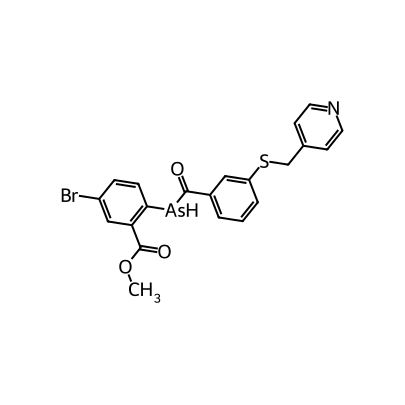 COC(=O)c1cc(Br)ccc1[AsH]C(=O)c1cccc(SCc2ccncc2)c1